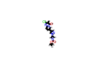 Cc1c(Cl)nc2ccc(-c3cnn(C4CN(C(=O)OC(C)(C)C)C4)c3)cn2c1=O